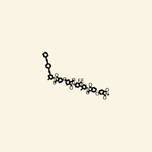 Cc1cc(C#Cc2ccc(C#Cc3ccccc3)cc2)cc(N2C(=O)c3ccc(Oc4ccc5c(c4)C(=O)N(c4ccc(-c6ccc(N7C(=O)c8ccc(Oc9ccc%10c(c9)C(=O)N(C)C%10=O)cc8C7=O)cc6C)c(C(F)(F)F)c4)C5=O)cc3C2=O)c1